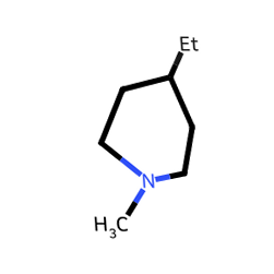 CCC1CCN(C)CC1